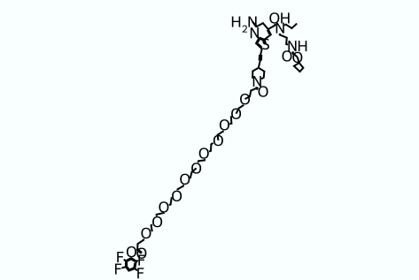 CCCN(CCCNC(=O)OC1CCC1)C(O)C1=Cc2sc(C#CC3CCN(C(=O)CCOCCOCCOCCOCCOCCOCCOCCOCCOCCOCCOCCC(=O)Oc4c(F)c(F)cc(F)c4F)CC3)cc2N=C(N)C1